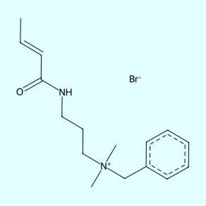 CC=CC(=O)NCCC[N+](C)(C)Cc1ccccc1.[Br-]